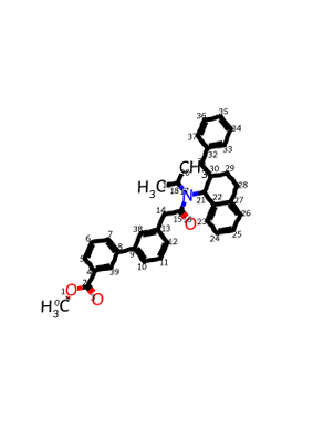 COC(=O)c1cccc(-c2cccc(CC(=O)N(C(C)C)C3c4ccccc4CCC3Cc3ccccc3)c2)c1